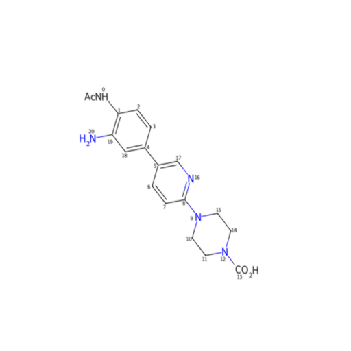 CC(=O)Nc1ccc(-c2ccc(N3CCN(C(=O)O)CC3)nc2)cc1N